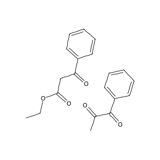 CC(=O)C(=O)c1ccccc1.CCOC(=O)CC(=O)c1ccccc1